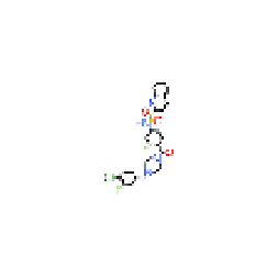 O=C(c1ccc(NS(=O)(=O)c2ccc3ccccc3n2)cc1F)N1CCN(Cc2ccc(Cl)c(F)c2)CC1